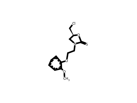 COc1ccccc1OCCN1C[C@@H](CCl)OC1=S